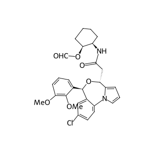 COc1cccc([C@H]2O[C@H](CC(=O)N[C@@H]3CCCC[C@@H]3OC=O)c3cccn3-c3ccc(Cl)cc32)c1OC